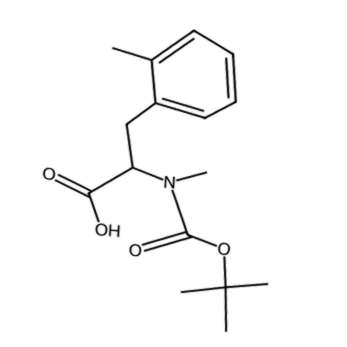 Cc1ccccc1CC(C(=O)O)N(C)C(=O)OC(C)(C)C